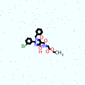 CCOC(=O)CNC(=O)c1c(O)nc(-c2cccc(Br)c2)n(Cc2ccccc2)c1=O